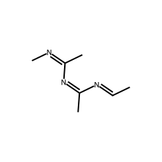 C/C=N/C(C)=N\C(C)=N/C